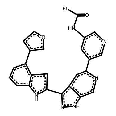 CCC(=O)Nc1cncc(-c2cc3c(-c4cc5c(-c6ccoc6)cccc5[nH]4)n[nH]c3cn2)c1